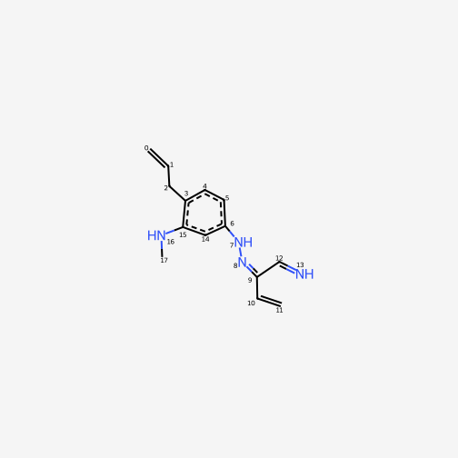 C=CCc1ccc(N/N=C(/C=C)C=N)cc1NC